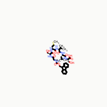 CSCC[C@H](NC(=O)[C@H](CO)NC(=O)CNC(=O)OCC1c2ccccc2-c2ccccc21)C(=O)N[C@H](C(=O)N[C@@H](CC(C)C)C(=O)N[C@@H](CO)C(=O)O)C(C)C